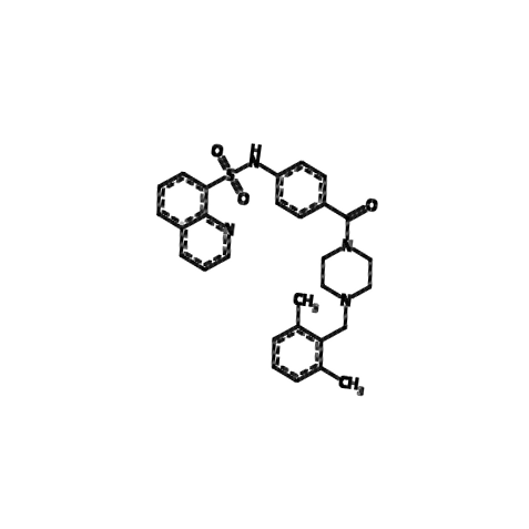 Cc1cccc(C)c1CN1CCN(C(=O)c2ccc(NS(=O)(=O)c3cccc4cccnc34)cc2)CC1